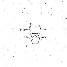 CC(C)[C@@H]1[C@@H]2CC[C@@H](C2)[C@@H]1C(=O)O